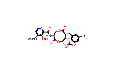 COc1ccnc(C(=O)N[C@H]2COC(=O)[C@H](Cc3cccc(C(F)(F)F)c3)[C@@H](OC(=O)C(C)C)[C@H](C)OC2=O)c1O